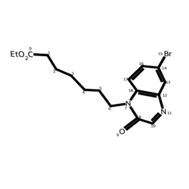 CCOC(=O)CCCCCCn1c(=O)cnc2cc(Br)ccc21